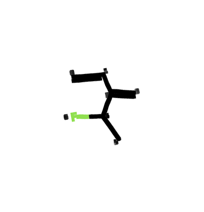 C=CC(=C)C(C)F